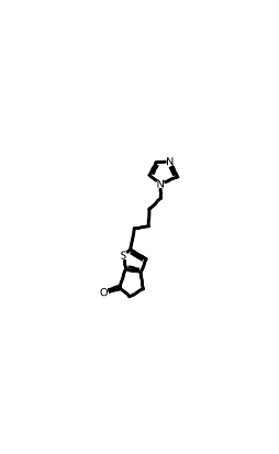 O=C1CCc2cc(CCCCn3ccnc3)sc21